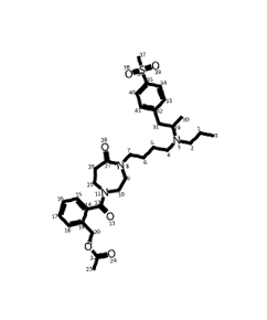 CCCN(CCCCN1CCN(C(=O)c2ccccc2COC(C)=O)CCC1=O)C(C)Cc1ccc(S(C)(=O)=O)cc1